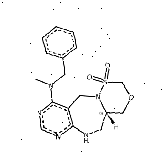 CN(Cc1ccccc1)c1ncnc2c1CN1[C@@H](CN2)COCS1(=O)=O